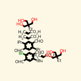 C=CC(=O)O.C=CC(=O)O.C=CC(=O)O.CC(C)(C)c1cc(C=O)c(Br)cc1C=O.CC(C)c1cc(C=O)c(C(C)C)cc1C=O.CCC(CO)(CO)CO.CCC(CO)(CO)CO